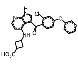 O=C(c1ccc(Oc2ccccc2)cc1Cl)c1c[nH]c2nccc(NC3CC(C(=O)O)C3)c12